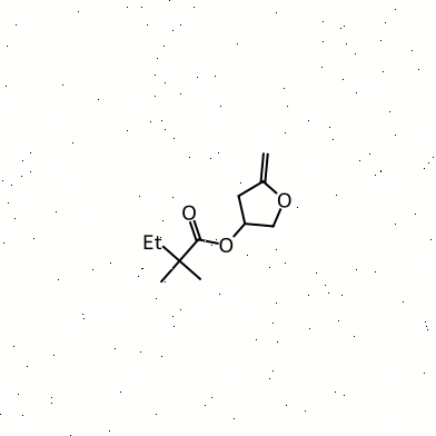 C=C1CC(OC(=O)C(C)(C)CC)CO1